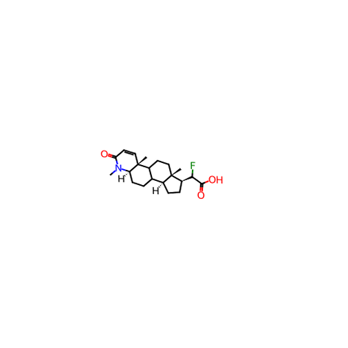 CN1C(=O)C=C[C@]2(C)C3CC[C@]4(C)[C@@H](C(F)C(=O)O)CC[C@H]4C3CC[C@@H]12